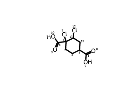 O=C(O)C1CCC(Cl)(C(=O)O)C(Cl)C1